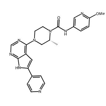 COc1ccc(NC(=O)N2CCN(c3ncnc4[nH]c(-c5ccncc5)cc34)C[C@H]2C)cn1